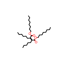 CCCCCCCCOC(=O)C(CCCCC)=C(CCCCCC)C(=O)OCCCCCCCC